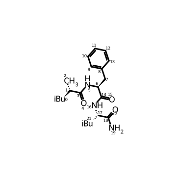 CC[C@H](C)[C@H](C)C(=O)N[C@@H](Cc1ccccc1)C(=O)N[C@H](C(N)=O)[C@@H](C)CC